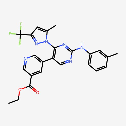 CCOC(=O)c1cncc(-c2cnc(Nc3cccc(C)c3)nc2-n2nc(C(F)(F)F)cc2C)c1